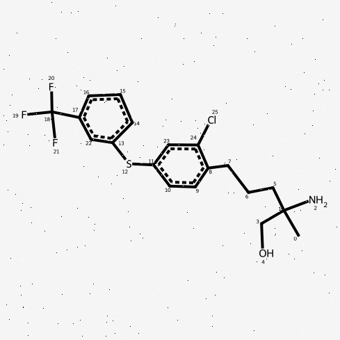 CC(N)(CO)CCCc1ccc(Sc2cccc(C(F)(F)F)c2)cc1Cl